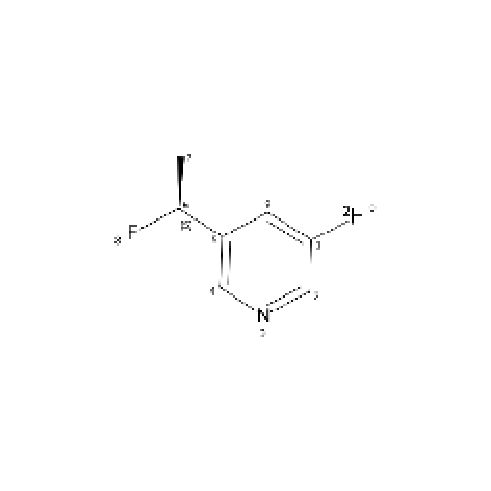 [2H]c1cncc([C@H](C)F)c1